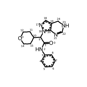 O=C(Nc1ccccc1)C(C1CCOCC1)n1ncc2c1N=CNC2